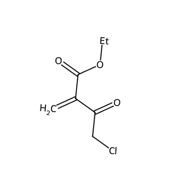 C=C(C(=O)CCl)C(=O)OCC